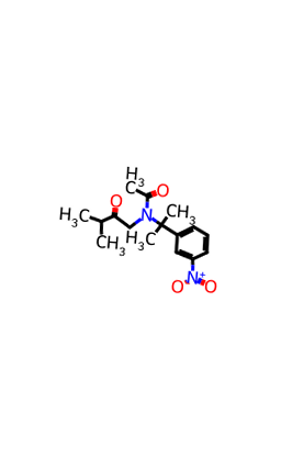 CC(=O)N(CC(=O)C(C)C)C(C)(C)c1cccc([N+](=O)[O-])c1